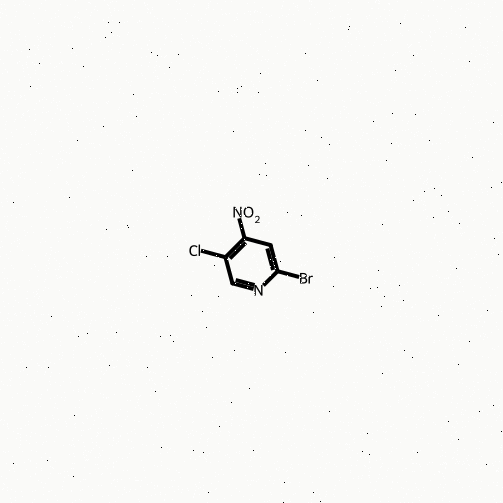 O=[N+]([O-])c1cc(Br)ncc1Cl